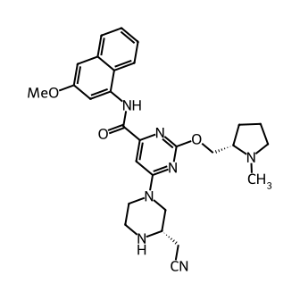 COc1cc(NC(=O)c2cc(N3CCN[C@@H](CC#N)C3)nc(OC[C@@H]3CCCN3C)n2)c2ccccc2c1